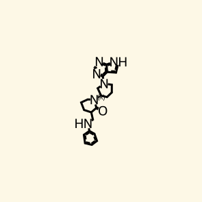 O=C1C(CNc2ccccc2)CCCN1[C@@H]1CCCN(c2ncnc3[nH]ccc23)C1